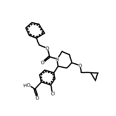 O=C(O)c1ccc(C2CC(OCC3CC3)CCN2C(=O)OCc2ccccc2)cc1Cl